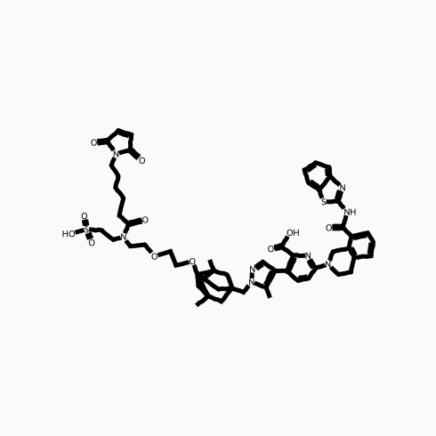 Cc1c(-c2ccc(N3CCc4cccc(C(=O)Nc5nc6ccccc6s5)c4C3)nc2C(=O)O)cnn1CC12CC3(C)CC(C)(C1)C(OCCOCCN(CCS(=O)(=O)O)C(=O)CCCCCN1C(=O)C=CC1=O)(C3)C2